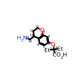 CCC(CC)(Oc1ccc2c(c1)OCCC2CN)C(=O)O